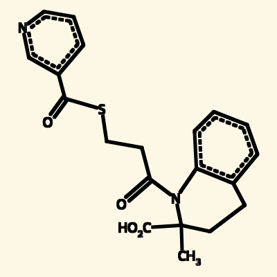 CC1(C(=O)O)CCc2ccccc2N1C(=O)CCSC(=O)c1cccnc1